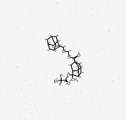 CCC(F)(F)C(=O)OC1(C)C2CC3CC1CC(C(=O)OCOCC1C4CC5CC(C4)CC1C5)(C3)C2